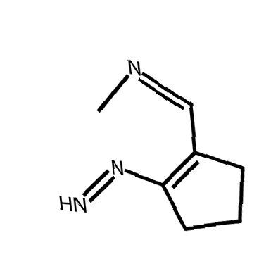 C/N=C\C1=C(N=N)CCC1